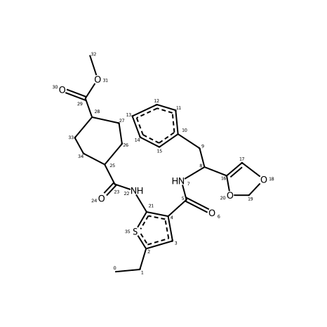 CCc1cc(C(=O)NC(Cc2ccccc2)C2=COCO2)c(NC(=O)C2CCC(C(=O)OC)CC2)s1